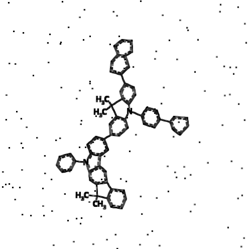 CC1(C)c2ccccc2-c2cc3c4cc(-c5ccc6c(c5)C(C)(C)c5cc(-c7ccc8ccccc8c7)ccc5N6c5ccc(-c6ccccc6)cc5)ccc4n(-c4ccccc4)c3cc21